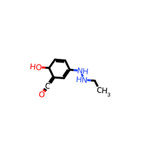 CCNNC1=CC(=C=O)C(O)C=C1